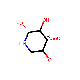 OC1CN[C@H](O)C(O)[C@@H]1O